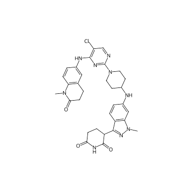 CN1C(=O)CCc2cc(Nc3nc(N4CCC(Nc5ccc6c(C7CCC(=O)NC7=O)nn(C)c6c5)CC4)ncc3Cl)ccc21